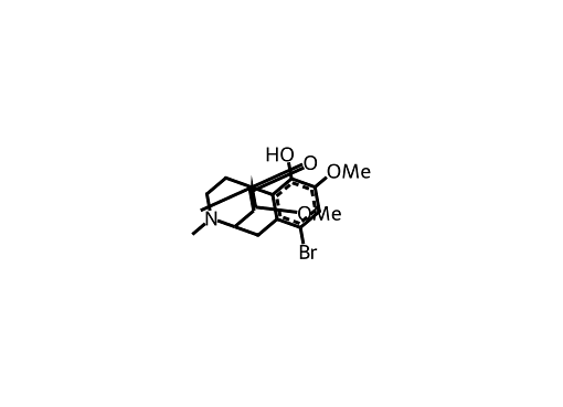 COc1cc(Br)c2c(c1O)C13CCN(C)C(C2)C1CC(OC)C(=O)C3